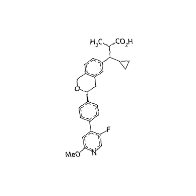 COc1cc(-c2ccc([C@@H]3Cc4cc(C(C5CC5)C(C)C(=O)O)ccc4CO3)cc2)c(F)cn1